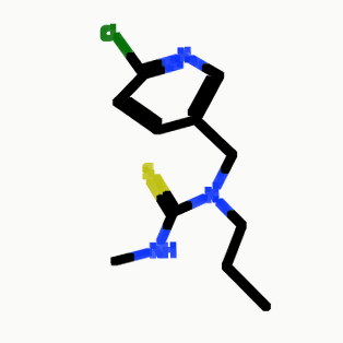 CCCN(Cc1ccc(Cl)nc1)C(=S)NC